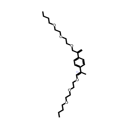 C=C(COCCOCCOCCCC)c1ccc(/C(C)=C/OCCOCCOCCCC)cc1